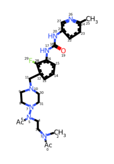 CC(=O)N(C)CCN(C(C)=O)N1CCN(Cc2cccc(NC(=O)Nc3ccc(C)nc3)c2F)CC1